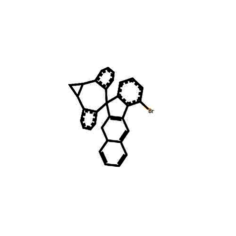 Brc1cccc2c1C1=C(CC3C=CC=CC3=C1)C21c2ccccc2C2CC2c2ccccc21